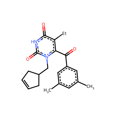 CCc1c(C(=O)c2cc(C)cc(C)c2)n(CC2CC=CC2)c(=O)[nH]c1=O